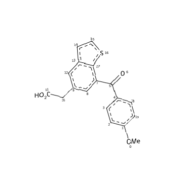 COc1ccc(C(=O)c2cc(CC(=O)O)cc3ccsc23)cc1